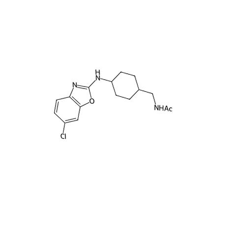 CC(=O)NCC1CCC(Nc2nc3ccc(Cl)cc3o2)CC1